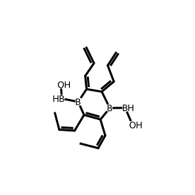 C=C/C=C1/B(BO)C(/C=C\C)=C(/C=C\C)B(BO)/C1=C/C=C